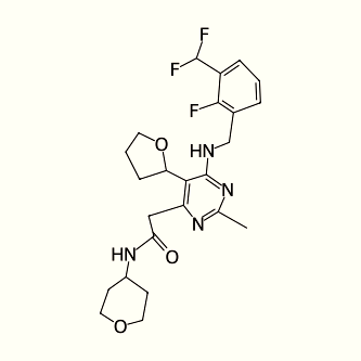 Cc1nc(CC(=O)NC2CCOCC2)c(C2CCCO2)c(NCc2cccc(C(F)F)c2F)n1